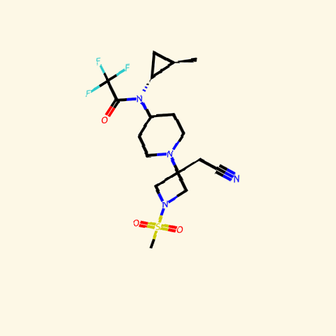 C[C@@H]1C[C@H]1N(C(=O)C(F)(F)F)C1CCN(C2(CC#N)CN(S(C)(=O)=O)C2)CC1